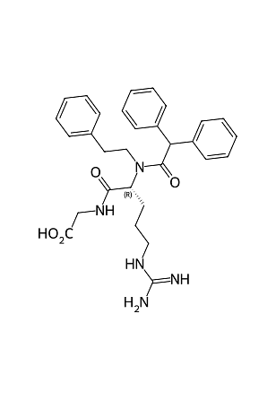 N=C(N)NCCC[C@H](C(=O)NCC(=O)O)N(CCc1ccccc1)C(=O)C(c1ccccc1)c1ccccc1